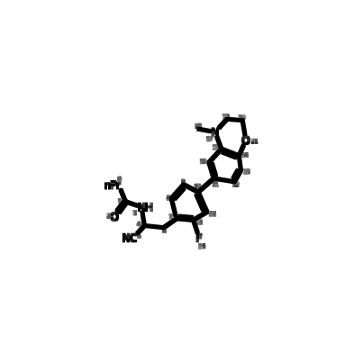 CCCC(=O)NC(C#N)Cc1ccc(-c2ccc3c(c2)N(C)CCO3)cc1F